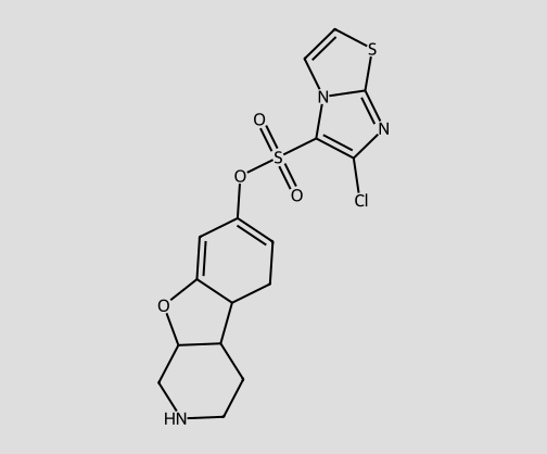 O=S(=O)(OC1=CCC2C(=C1)OC1CNCCC12)c1c(Cl)nc2sccn12